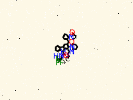 CCCCc1c2c(cc(C(=O)c3ccccc3N3CCCC3=O)c1N1CCCCC1N)-c1ccccc1C2C(=O)NCC(F)(F)F